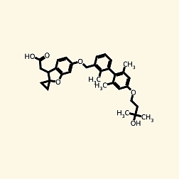 Cc1cc(OCCC(C)(C)O)cc(C)c1-c1cccc(COc2ccc3c(c2)OC2(CC2)C3CC(=O)O)c1C